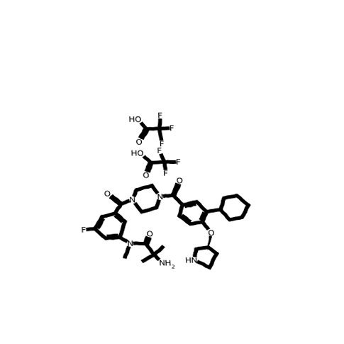 CN(C(=O)C(C)(C)N)c1cc(F)cc(C(=O)N2CCN(C(=O)c3ccc(O[C@H]4CCNC4)c(C4CCCCC4)c3)CC2)c1.O=C(O)C(F)(F)F.O=C(O)C(F)(F)F